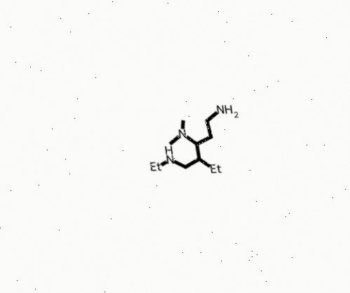 CCNCC(CC)C(CCN)N(C)C